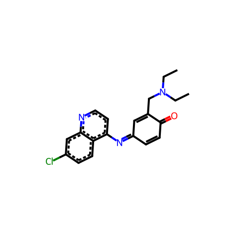 CCN(CC)CC1=C/C(=N\c2ccnc3cc(Cl)ccc23)C=CC1=O